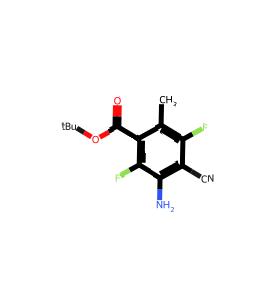 Cc1c(F)c(C#N)c(N)c(F)c1C(=O)OC(C)(C)C